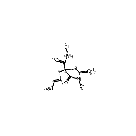 C=CCC(C/C=C/CCCC)(C(=O)NCC)C(=O)NCC